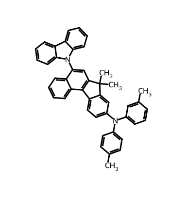 Cc1ccc(N(c2cccc(C)c2)c2ccc3c(c2)C(C)(C)c2cc(-n4c5ccccc5c5ccccc54)c4ccccc4c2-3)cc1